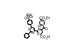 CCOC(=O)N1CCN(C(=O)C(CCC(=O)O)NC(=O)c2cc(-c3ccc(S(C)(=O)=O)cc3)nc(-c3ccccc3)n2)CC1